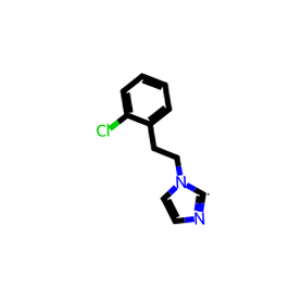 Clc1ccccc1CCn1[c]ncc1